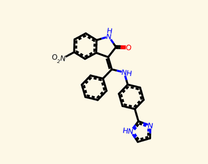 O=C1Nc2ccc([N+](=O)[O-])cc2C1=C(Nc1ccc(-c2ncc[nH]2)cc1)c1ccccc1